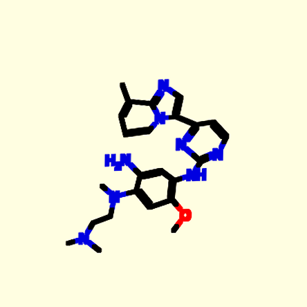 COc1cc(N(C)CCN(C)C)c(N)cc1Nc1nccc(-c2cnc3c(C)cccn23)n1